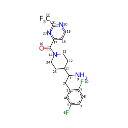 NC(Cc1cc(F)ccc1F)C1CCN(C(=O)c2ccnc(C(F)(F)F)n2)CC1